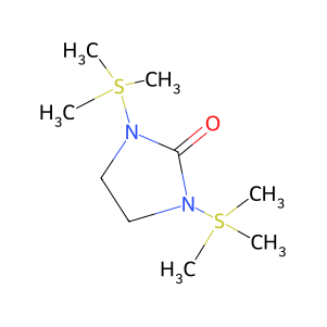 CS(C)(C)N1CCN(S(C)(C)C)C1=O